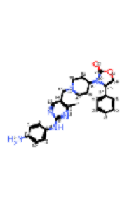 Cc1nc(Nc2ccc(N)cc2)ncc1CN1CCC(N2C(=O)OC[C@H]2c2ccccc2)CC1